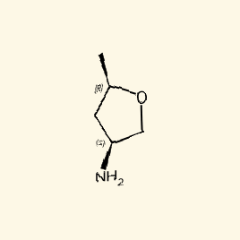 C[C@@H]1C[C@H](N)CO1